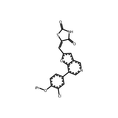 CC(C)Oc1ccc(-c2cncc3cc(C=C4SC(=O)NC4=O)oc23)cc1Cl